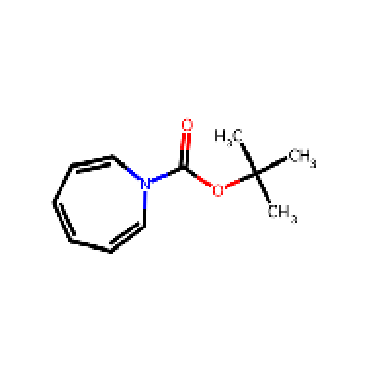 CC(C)(C)OC(=O)N1C=CC=CC=C1